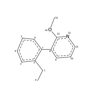 CCc1ccccc1-c1cccnc1OC